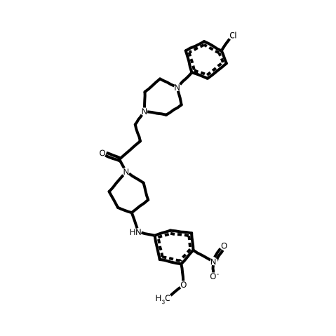 COc1cc(NC2CCN(C(=O)CCN3CCN(c4ccc(Cl)cc4)CC3)CC2)ccc1[N+](=O)[O-]